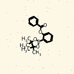 CC1(C)OB(c2ccccc2OC(=O)c2ccccc2)OC1(C)C